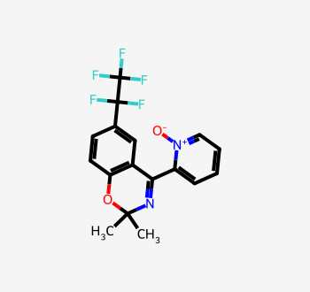 CC1(C)N=C(c2cccc[n+]2[O-])c2cc(C(F)(F)C(F)(F)F)ccc2O1